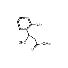 COC(=O)CN(C=O)c1ccccc1OC(C)=O